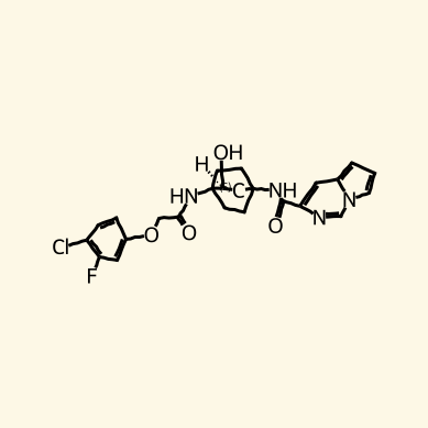 O=C(COc1ccc(Cl)c(F)c1)NC12CCC(NC(=O)c3cc4cccn4cn3)(CC1)C[C@@H]2O